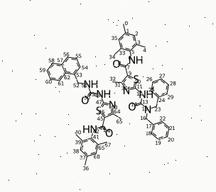 Cc1cc(C)c(NC(=O)c2sc(NC(=O)N(Cc3ccccc3)Cc3ccccc3)nc2C)c(C)c1.Cc1cc(C)c(NC(=O)c2sc(NC(=O)NCc3cccc4ccccc34)nc2C)c(C)c1